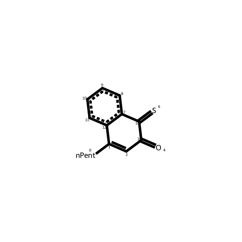 CCCCCC1=CC(=O)C(=S)c2ccccc21